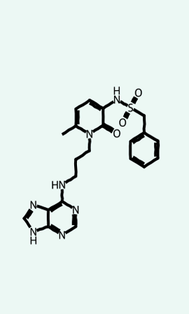 Cc1ccc(NS(=O)(=O)Cc2ccccc2)c(=O)n1CCCNc1ncnc2[nH]cnc12